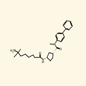 CN(C(=O)[C@@H]1CC[C@H](NC(=O)CCCCCC(C)(C)N)C1)c1ccc(-c2ccccc2)cc1